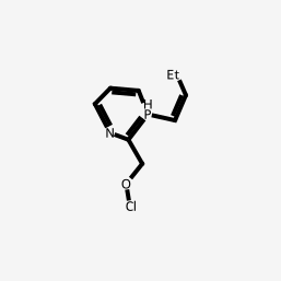 CC/C=C\[PH]1=C(COCl)N=CC=C1